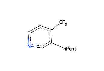 CCCC(C)c1cnccc1C(F)(F)F